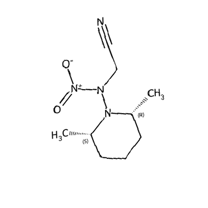 C[C@@H]1CCC[C@H](C)N1N(CC#N)[N+](=O)[O-]